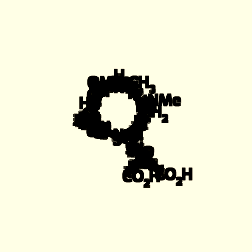 C=C1N[C@@H](CC(=O)NC)c2nc(c(C)s2)C(=O)NC(C(C)C)c2nc(c(COC)s2)C(=O)NCC(=O)N[C@@H]([C@@H](O)c2ccccc2)c2nc(cs2)-c2nc(cs2)-c2nc(-c3nc(N4C(=O)N(CCCC(=O)O)CC4CCCC(=O)O)cs3)ccc2-c2nc1cs2